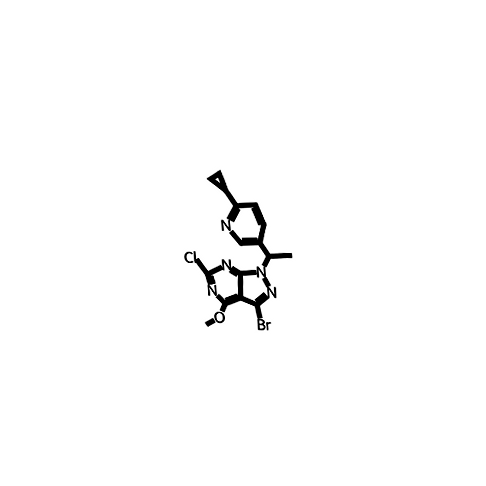 COc1nc(Cl)nc2c1c(Br)nn2C(C)c1ccc(C2CC2)nc1